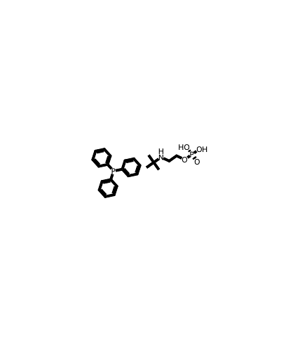 CC(C)(C)NCCOP(=O)(O)O.c1ccc(P(c2ccccc2)c2ccccc2)cc1